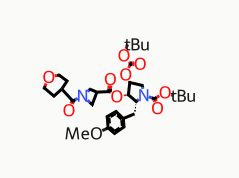 COc1ccc(C[C@@H]2[C@H](OC(=O)C3CN(C(=O)C4CCOCC4)C3)[C@@H](OC(=O)OC(C)(C)C)CN2C(=O)OC(C)(C)C)cc1